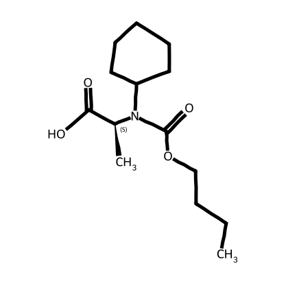 CCCCOC(=O)N(C1CCCCC1)[C@@H](C)C(=O)O